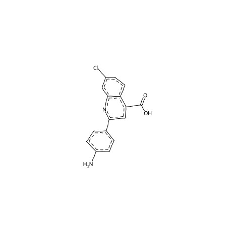 Nc1ccc(-c2cc(C(=O)O)c3ccc(Cl)cc3n2)cc1